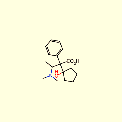 CC(N(C)C)C(C(=O)O)(c1ccccc1)C1(O)CCCC1